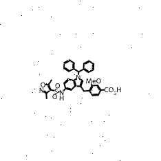 COc1cc(C(=O)O)ccc1Cc1cn(C(c2ccccc2)c2ccccc2)c2ccc(NS(=O)(=O)c3c(C)noc3C)cc12